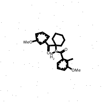 COc1cccc(C(=O)C2(N(N)C(=O)c3cccc(OC)c3C)CCCCC2)c1